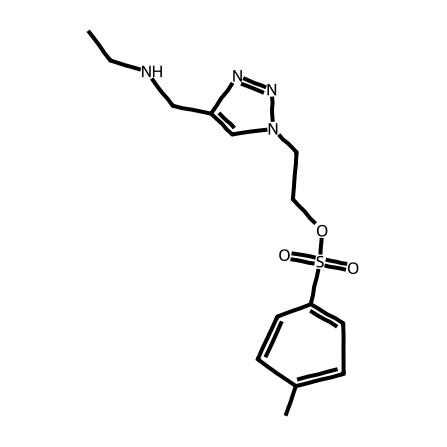 CCNCc1cn(CCOS(=O)(=O)c2ccc(C)cc2)nn1